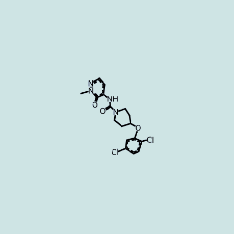 Cn1nccc(NC(=O)N2CCC(Oc3cc(Cl)ccc3Cl)CC2)c1=O